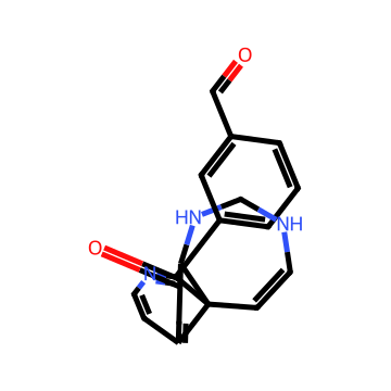 O=Cc1cccc(C2=NC=CC3=CC(=O)C4NCNC=CC324)c1